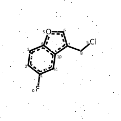 Fc1ccc2occ(CCl)c2c1